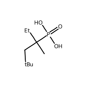 CCC(C)(CC(C)(C)C)P(=O)(O)O